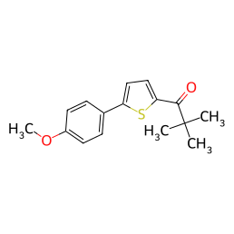 COc1ccc(-c2ccc(C(=O)C(C)(C)C)s2)cc1